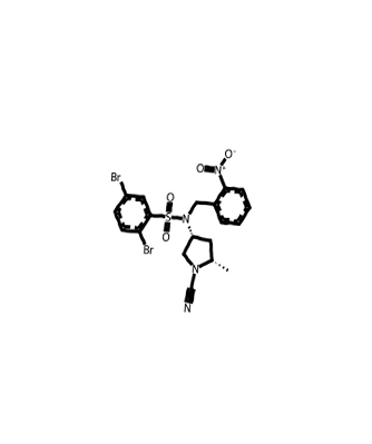 C[C@H]1C[C@@H](N(Cc2ccccc2[N+](=O)[O-])S(=O)(=O)c2cc(Br)ccc2Br)CN1C#N